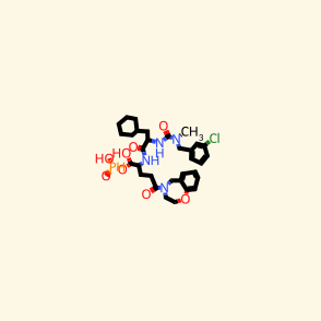 CN(Cc1cccc(Cl)c1)C(=O)NC(CC1CCCCC1)C(=O)NC(CCC(=O)N1CCOc2ccccc2C1)C(O)O[PH](=O)O